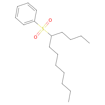 CCCCCCCC(CCCC)S(=O)(=O)c1ccccc1